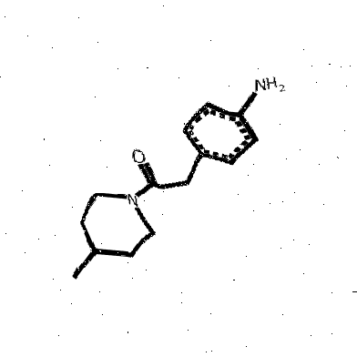 CC1CCN(C(=O)Cc2ccc(N)cc2)CC1